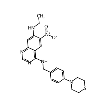 CCNc1cc2ncnc(NCc3ccc(N4CCSCC4)cc3)c2cc1[N+](=O)[O-]